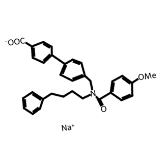 COc1ccc(C(=O)N(CCCCc2ccccc2)Cc2ccc(-c3ccc(C(=O)[O-])cc3)cc2)cc1.[Na+]